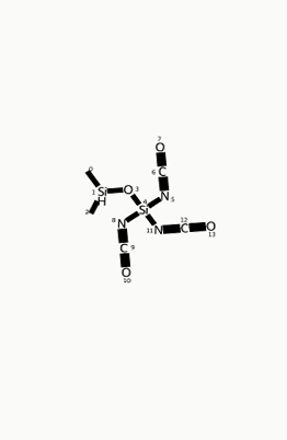 C[SiH](C)O[Si](N=C=O)(N=C=O)N=C=O